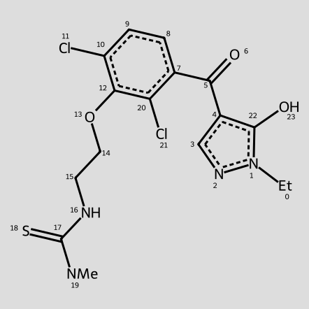 CCn1ncc(C(=O)c2ccc(Cl)c(OCCNC(=S)NC)c2Cl)c1O